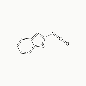 O=C=Nc1cc2ccccc2s1